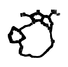 Nc1nc2nc3c1nc(O)n3Cc1cccc(c1)OCCCCCO2